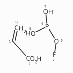 C=CC(=O)O.OP(O)OF